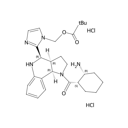 CC(C)(C)C(=O)OCn1ccnc1[C@@H]1Nc2ccccc2[C@H]2[C@@H]1CCN2C(=O)[C@H]1CCCC[C@H]1N.Cl.Cl